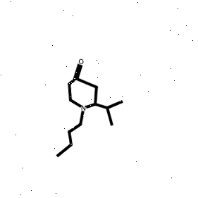 CCCCN1CCC(=O)CC1C(C)C